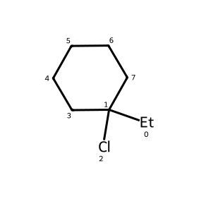 CCC1(Cl)CCCCC1